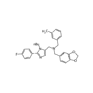 CCCCn1c(CN(Cc2cccc(C)c2)Cc2ccc3c(c2)OCO3)cnc1-c1ccc(F)cc1